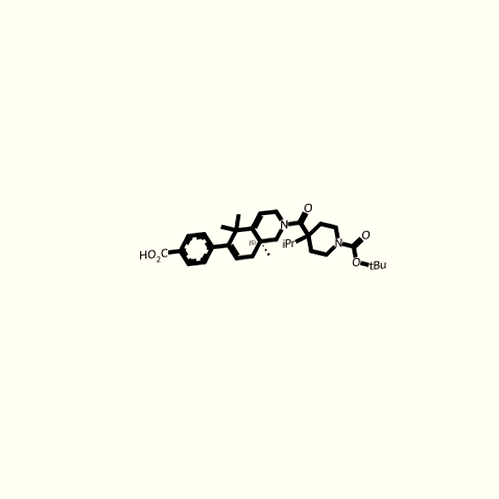 CC(C)C1(C(=O)N2CC=C3C(C)(C)C(c4ccc(C(=O)O)cc4)=CC[C@]3(C)C2)CCN(C(=O)OC(C)(C)C)CC1